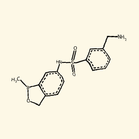 CB1OCc2ccc(NS(=O)(=O)c3cccc(CN)c3)cc21